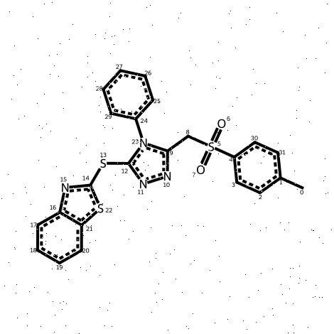 Cc1ccc(S(=O)(=O)Cc2nnc(Sc3nc4ccccc4s3)n2-c2ccccc2)cc1